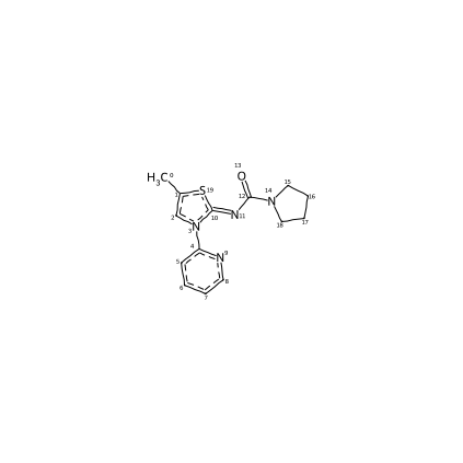 Cc1cn(-c2ccccn2)c(=NC(=O)N2CCCC2)s1